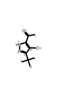 CC(=O)c1[nH]nc(C(C)(C)C)c1Cl